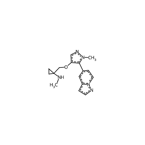 CNC1(COc2cnn(C)c2-c2ccn3nccc3c2)CC1